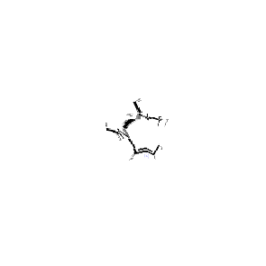 C/C=C\N(C)N(C)F